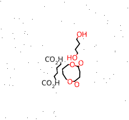 O=C(O)CCCCC(=O)O.O=C1CCC(=O)OCCCCO1.OCCCCO